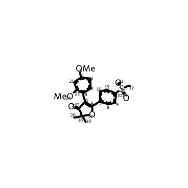 COc1ccc(C2=C(c3ccc(S(C)(=O)=O)cc3)OC(C)(C)C2=O)c(OC)c1